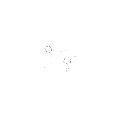 CNC1CCC(COC(CO)c2cc(C(F)(F)F)cc(C(F)(F)F)c2)(c2ccccc2)CC1